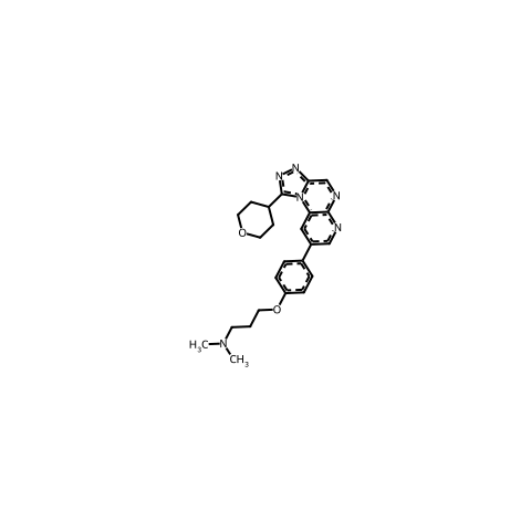 CN(C)CCCOc1ccc(-c2cnc3ncc4nnc(C5CCOCC5)n4c3c2)cc1